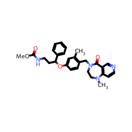 COC(=O)NCCC(Oc1ccc(CN2CCN(C)c3ccncc3C2=O)c(C)c1)c1ccccc1